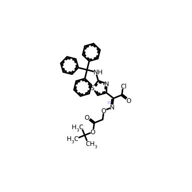 CC(C)(C)OC(=O)CO/N=C(/C(=O)Cl)c1csc(NC(c2ccccc2)(c2ccccc2)c2ccccc2)n1